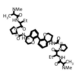 CCC(NC(=O)C(C)NC)C(=O)N1CCC[C@H]1C(=O)N[C@@H]1CCOc2c(-c3cccc4c3OCC[C@H]4NC(=O)[C@@H]3CCCN3C(=O)C(CC)NC(=O)C(C)NC)cccc21